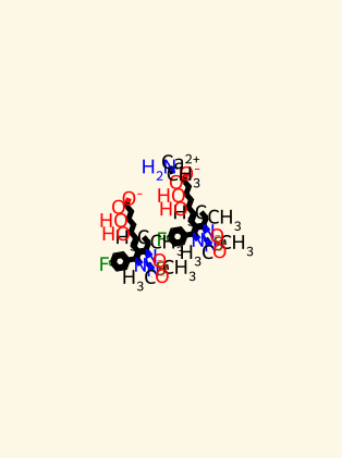 CC(C)c1nc(N(C)S(C)(=O)=O)nc(-c2ccc(F)cc2)c1C=C[C@@H](O)C[C@@H](O)CC(=O)[O-].CC(C)c1nc(N(C)S(C)(=O)=O)nc(-c2ccc(F)cc2)c1C=C[C@@H](O)C[C@@H](O)CC(=O)[O-].CN.[Ca+2]